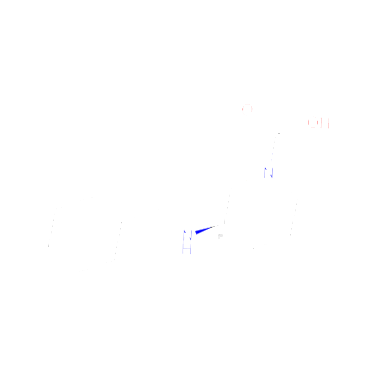 O=C(O)N1CCC[C@@H](NCC2CCCCC2)C1